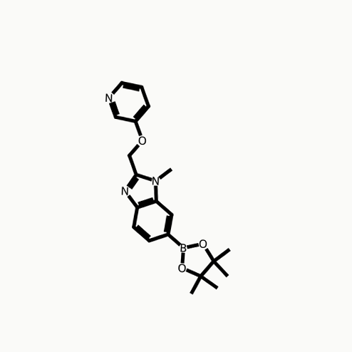 Cn1c(COc2cccnc2)nc2ccc(B3OC(C)(C)C(C)(C)O3)cc21